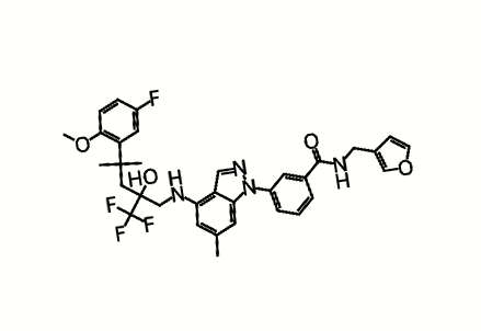 COc1ccc(F)cc1C(C)(C)CC(O)(CNc1cc(C)cc2c1cnn2-c1cccc(C(=O)NCc2ccoc2)c1)C(F)(F)F